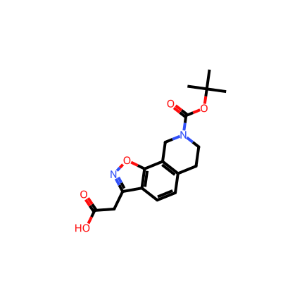 CC(C)(C)OC(=O)N1CCc2ccc3c(CC(=O)O)noc3c2C1